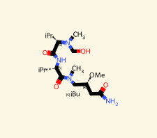 CC[C@H](C)C([C@@H](CC(N)=O)OC)N(C)C(=O)[C@@H](NC(=O)[C@H](C(C)C)N(C)CO)C(C)C